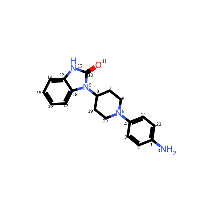 Nc1ccc(N2CCC(n3c(=O)[nH]c4ccccc43)CC2)cc1